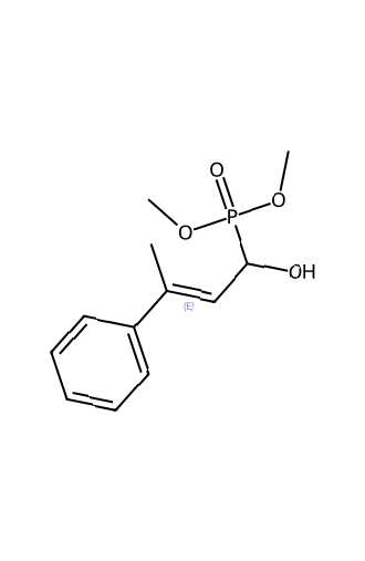 COP(=O)(OC)C(O)/C=C(\C)c1ccccc1